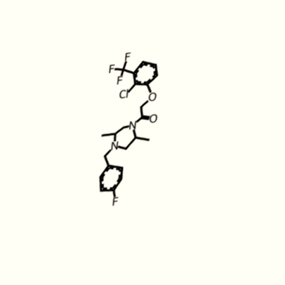 CC1CN(C(=O)COc2cccc(C(F)(F)F)c2Cl)C(C)CN1Cc1ccc(F)cc1